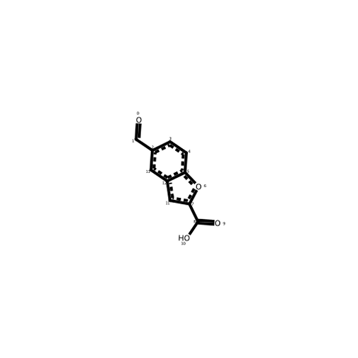 O=Cc1ccc2oc(C(=O)O)cc2c1